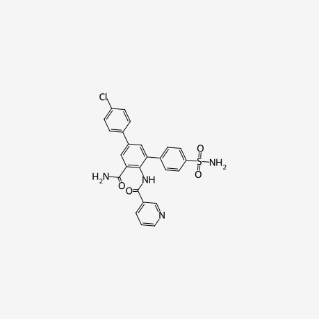 NC(=O)c1cc(-c2ccc(Cl)cc2)cc(-c2ccc(S(N)(=O)=O)cc2)c1NC(=O)c1cccnc1